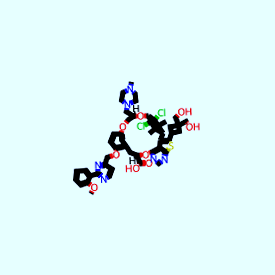 COc1ccccc1-c1nccc(COc2ccc3cc2C[C@H](C(=O)O)Oc2ncnc4sc(C5CC(CO)(CO)C5)c(c24)-c2c(C)c(Cl)c(c(Cl)c2C)O[C@H](CN2CCN(C)CC2)CO3)n1